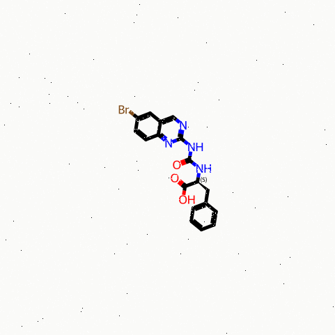 O=C(Nc1ncc2cc(Br)ccc2n1)N[C@@H](Cc1ccccc1)C(=O)O